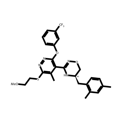 COCCSc1nnc(Oc2cccc(C(F)(F)F)c2)c(C2=NOC[C@@H](Cc3ccc(C)cc3C)N2)c1C